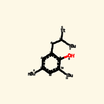 CCCCc1cc(CC(CC)C(C)(C)C)c(O)c(C(C)(C)C)c1